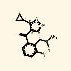 C[S+]([O-])Cc1c(Br)cccc1C(=O)c1cnoc1C1CC1